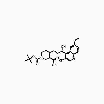 COc1ccc2ncc(Cl)c(C(O)CCC3CCN(C(=O)OC(C)(C)C)CC3C(=O)O)c2c1